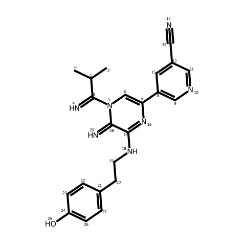 CC(C)C(=N)n1cc(-c2cncc(C#N)c2)nc(NCCc2ccc(O)cc2)c1=N